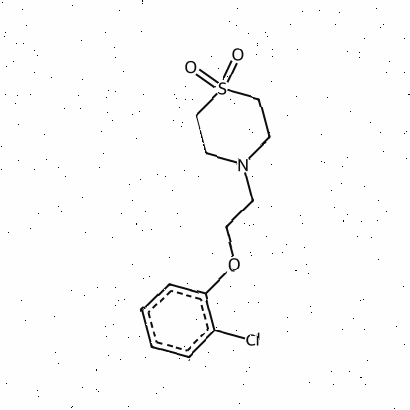 O=S1(=O)CCN(CCOc2ccc[c]c2Cl)CC1